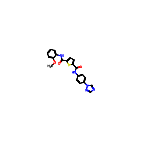 COc1ccccc1NC(=O)c1ccc(C(=O)Nc2ccc(-n3cncn3)cc2)s1